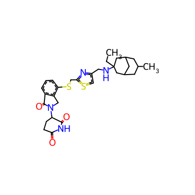 CCC1(NCc2csc(CSc3cccc4c3CN(C3CCC(=O)NC3=O)C4=O)n2)CC2CC(C)CC(C2)C1